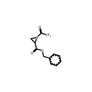 O=C(OCc1ccccc1)C1CN1C(=O)C(F)(F)F